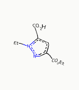 CCOC(=O)c1cc(C(=O)O)n(CC)n1